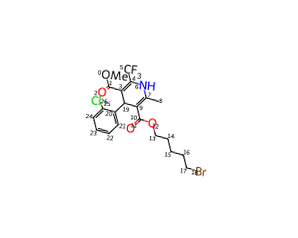 COC(=O)C1=C(C(F)(F)F)NC(C)=C(C(=O)OCCCCCBr)C1c1ccccc1Cl